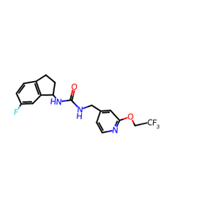 O=C(NCc1ccnc(OCC(F)(F)F)c1)NC1CCc2ccc(F)cc21